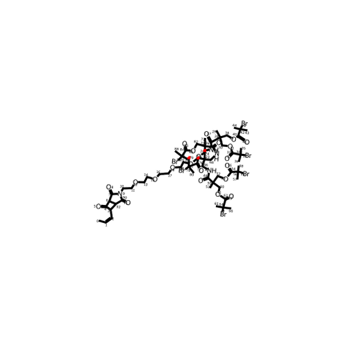 C/C=C\C1C(=O)C2C(=O)N(CCOCCOCCOCCOCC(CNC(=O)C(C)(COC(=O)C(C)(C)Br)COC(=O)C(C)(C)Br)(CNC(=O)C(C)(COC(=O)C(C)(C)Br)COC(=O)C(C)(C)Br)CNC(=O)C(C)(COC(=O)C(C)(C)Br)COC(=O)C(C)(C)Br)C(=O)C12